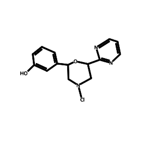 Oc1cccc(C2CN(Cl)CC(c3ncccn3)O2)c1